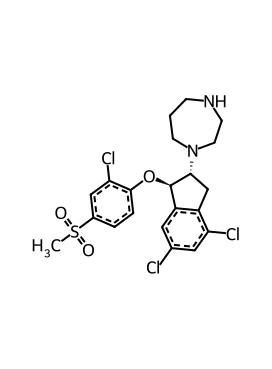 CS(=O)(=O)c1ccc(O[C@@H]2c3cc(Cl)cc(Cl)c3C[C@H]2N2CCCNCC2)c(Cl)c1